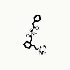 CCCN(CCC)CCc1ccccc1CC(=O)NOC(=O)Cc1ccccc1